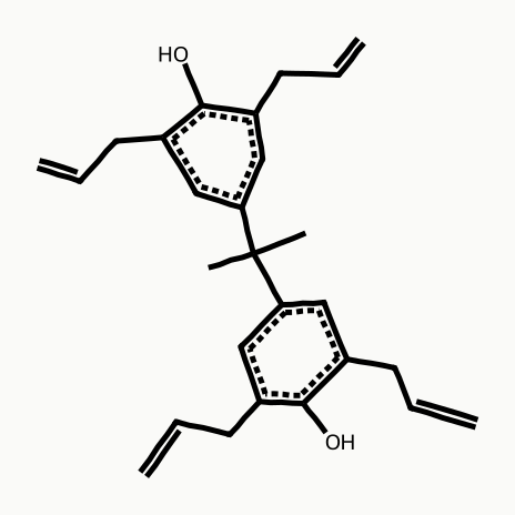 C=CCc1cc(C(C)(C)c2cc(CC=C)c(O)c(CC=C)c2)cc(CC=C)c1O